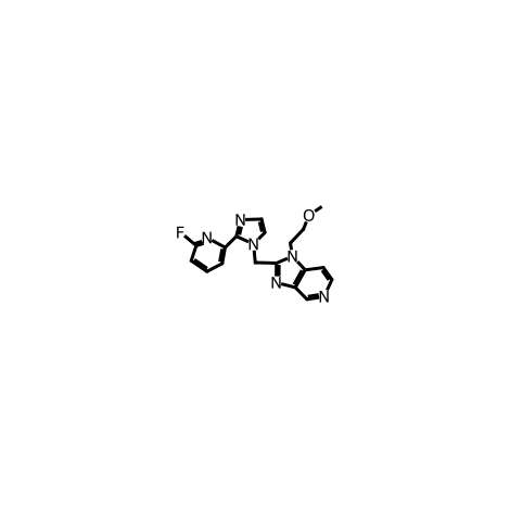 COCCn1c(Cn2ccnc2-c2cccc(F)n2)nc2cnccc21